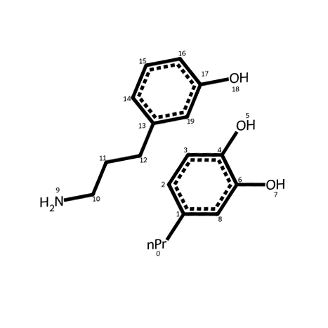 CCCc1ccc(O)c(O)c1.NCCCc1cccc(O)c1